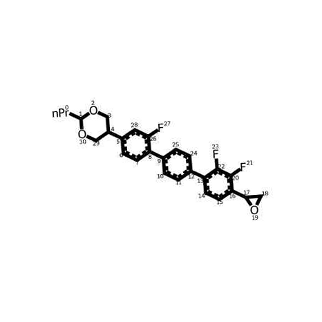 CCCC1OCC(c2ccc(-c3ccc(-c4ccc(C5CO5)c(F)c4F)cc3)c(F)c2)CO1